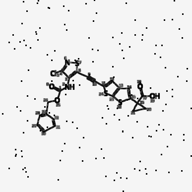 O=C(Nc1c(Cl)nsc1C#Cc1cc2cc(C3(C(=O)O)CC3)sc2s1)OCc1ccccc1